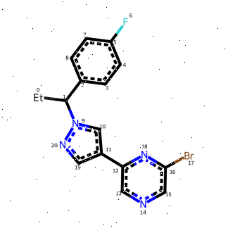 CCC(c1ccc(F)cc1)n1cc(-c2cncc(Br)n2)cn1